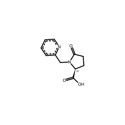 O=C(O)[C@@H]1CCC(=O)N1Cc1ccccn1